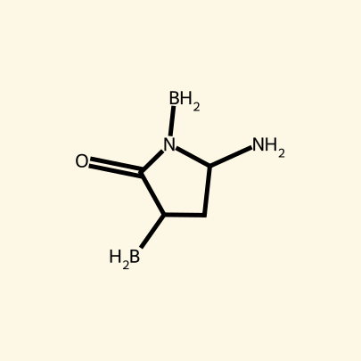 BC1CC(N)N(B)C1=O